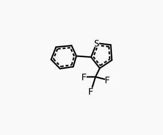 FC(F)(F)c1ccsc1-c1ccccc1